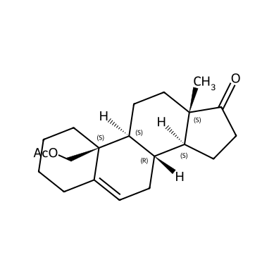 CC(=O)OC[C@]12CCCCC1=CC[C@@H]1[C@@H]2CC[C@]2(C)C(=O)CC[C@@H]12